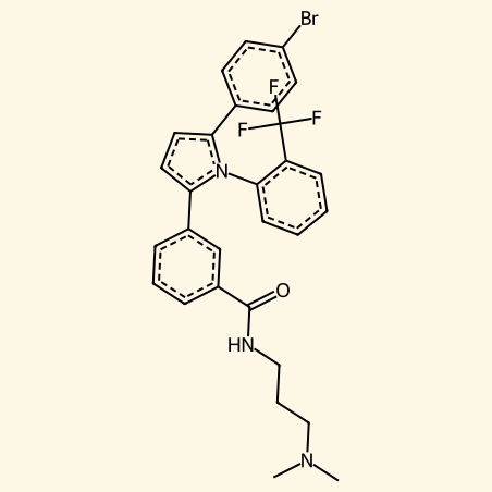 CN(C)CCCNC(=O)c1cccc(-c2ccc(-c3ccc(Br)cc3)n2-c2ccccc2C(F)(F)F)c1